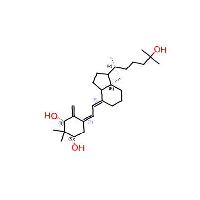 C=C1/C(=C\C=C2/CCC[C@@]3(C)C2CCC3[C@H](C)CCCC(C)(C)O)C[C@H](O)C(C)(C)[C@@H]1O